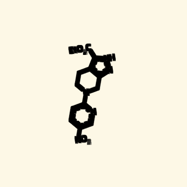 CCOC(=O)c1[nH]nc2c1CCN(c1ccc([N+](=O)[O-])cn1)C2